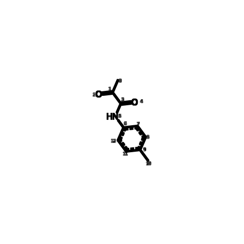 CC(=O)C(=O)Nc1ccc(C)cc1